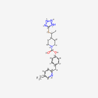 CC(Sc1nnn[nH]1)C1CCN(C(=O)Oc2ccc(Cc3ccc(C(F)(F)F)cn3)cc2)CC1